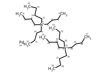 CCCC[N+](CCCC)(CCCC)CCCC.CCCC[N+](CCCC)(CCCC)CCCC.[Pd]